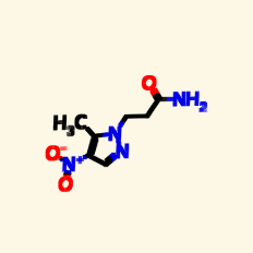 Cc1c([N+](=O)[O-])cnn1CCC(N)=O